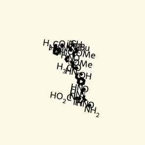 CC[C@H](C)[C@@H]([C@@H](CC(=O)N1CCC[C@H]1[C@H](OC)[C@@H](C)C(=O)N[C@H](CO)Cc1cccc(NC(=O)[C@H](CCCNC(N)=O)NC(=O)[C@@H](NC(=O)O)C(C)C)c1)OC)N(C)C(=O)[C@@H](NC(=O)[C@@H]1[C@H]2CC[C@H](C2)N1C)C(C)C